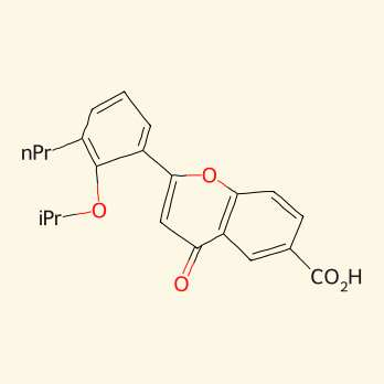 CCCc1cccc(-c2cc(=O)c3cc(C(=O)O)ccc3o2)c1OC(C)C